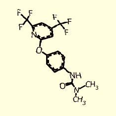 CN(C)C(=O)Nc1ccc(Oc2cc(C(F)(F)F)cc(C(F)(F)F)n2)cc1